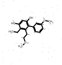 CCc1c(O)cc(O)c(-c2cccc(OC)c2)c1CCOC